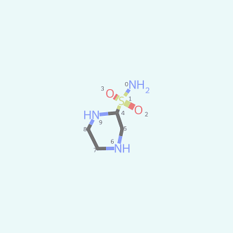 NS(=O)(=O)C1CNCCN1